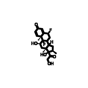 C[C@@H]1C[C@H]2C3C[C@H](F)C4=CC(=O)C=C[C@]4(C)[C@@]3(F)[C@@H](O)C[C@]2(C)[C@@]1(O)C(=O)CO